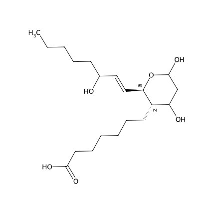 CCCCCC(O)C=C[C@H]1OC(O)CC(O)[C@@H]1CCCCCCC(=O)O